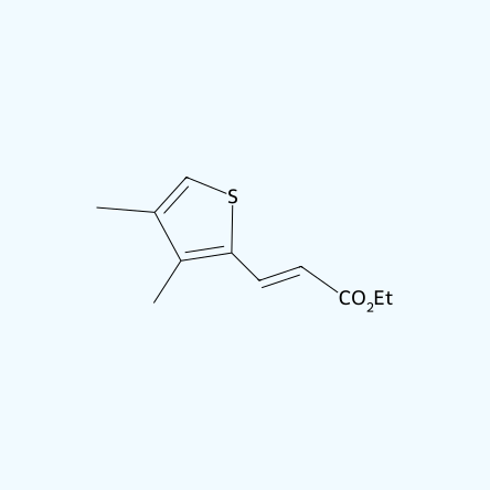 CCOC(=O)/C=C/c1scc(C)c1C